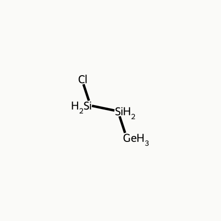 Cl[SiH2][SiH2][GeH3]